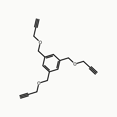 C#CCOCc1cc(COCC#C)cc(COCC#C)c1